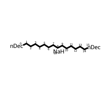 CCCCCCCCCCCCCCCCCCCCCCCCCCCCCCCCCC.[NaH]